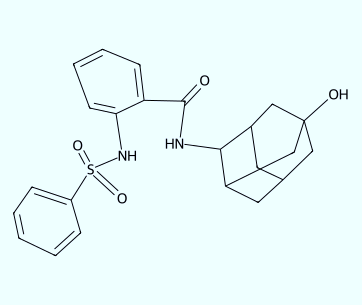 O=C(NC1C2CC3CC1CC(O)(C3)C2)c1ccccc1NS(=O)(=O)c1ccccc1